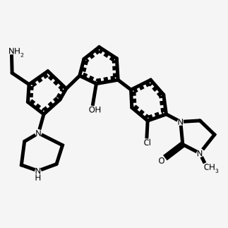 CN1CCN(c2ccc(-c3cccc(-c4cc(CN)cc(N5CCNCC5)c4)c3O)cc2Cl)C1=O